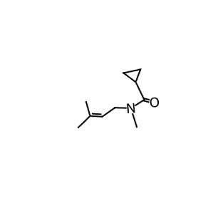 CC(C)=CCN(C)C(=O)C1CC1